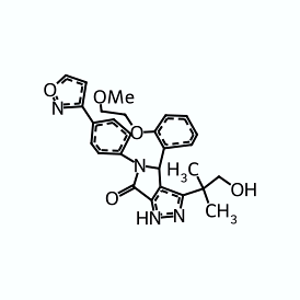 COCCOc1ccccc1C1c2c(C(C)(C)CO)n[nH]c2C(=O)N1c1ccc(-c2ccon2)cc1